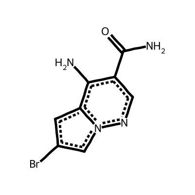 NC(=O)c1cnn2cc(Br)cc2c1N